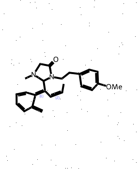 C=c1cccc/c1=C(/C=C\C)C1N(C)CC(=O)N1CCc1ccc(OC)cc1